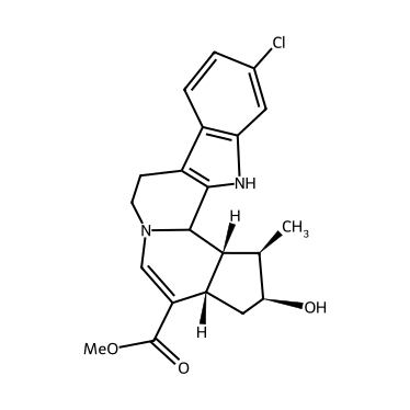 COC(=O)C1=CN2CCc3c([nH]c4cc(Cl)ccc34)C2[C@@H]2[C@@H](C)[C@@H](O)C[C@H]12